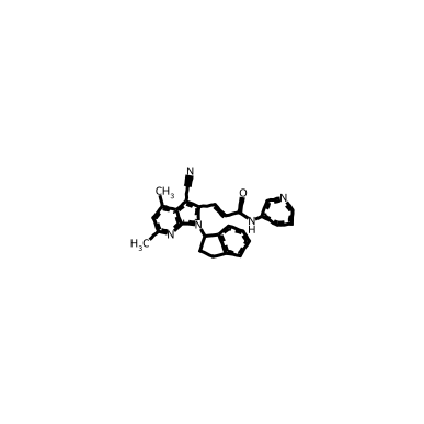 Cc1cc(C)c2c(C#N)c(C=CC(=O)Nc3cccnc3)n(C3CCc4ccccc43)c2n1